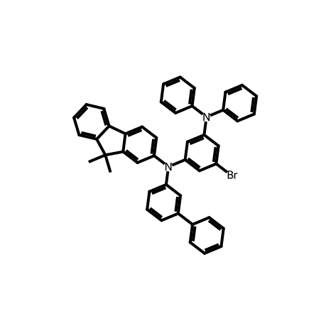 CC1(C)c2ccccc2-c2ccc(N(c3cccc(-c4ccccc4)c3)c3cc(Br)cc(N(c4ccccc4)c4ccccc4)c3)cc21